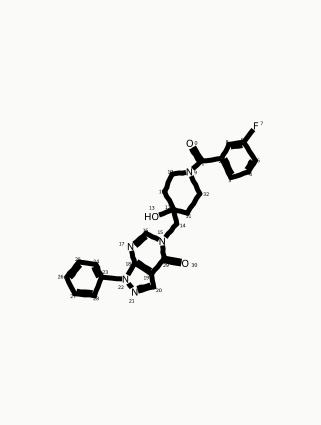 O=C(c1cccc(F)c1)N1CCC(O)(Cn2cnc3c(cnn3-c3ccccc3)c2=O)CC1